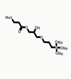 CO[Si](CCCOCC(O)COC(=O)CCSC)(OC)OC